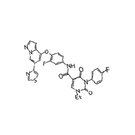 CCn1cc(C(=O)Nc2ccc(Oc3cc(-c4cscn4)cn4nccc34)c(F)c2)c(=O)n(-c2ccc(F)cc2)c1=O